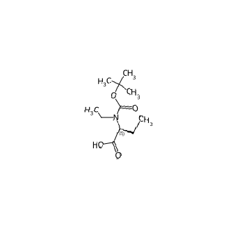 CC[C@@H](C(=O)O)N(CC)C(=O)OC(C)(C)C